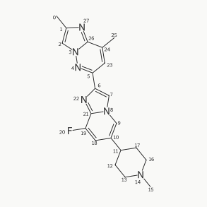 Cc1cn2nc(-c3cn4cc(C5CCN(C)CC5)cc(F)c4n3)cc(C)c2n1